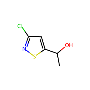 CC(O)c1cc(Cl)ns1